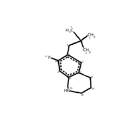 CC(C)(C)Cc1cc2c(cc1F)NCC[CH]2